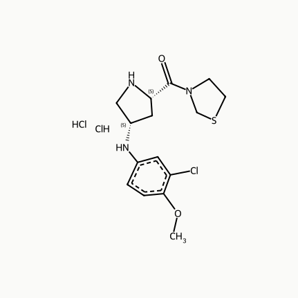 COc1ccc(N[C@@H]2CN[C@H](C(=O)N3CCSC3)C2)cc1Cl.Cl.Cl